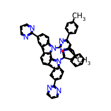 Cc1ccc(-c2cc(-c3ccccc3)nc(-n3c4ccc(-c5ncccn5)cc4c4ccc5c6cc(-c7ncccn7)ccc6n(C6=CC=CC(C)C6)c5c43)n2)cc1